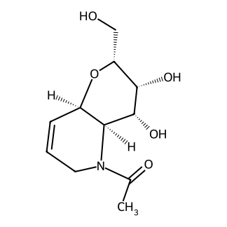 CC(=O)N1CC=C[C@H]2O[C@H](CO)[C@H](O)[C@H](O)[C@H]21